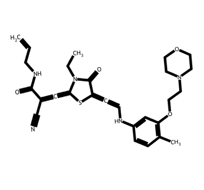 C=CCNC(=O)C(=C=c1sc(=C=CNc2ccc(C)c(OCCN3CCOCC3)c2)c(=O)n1CC)C#N